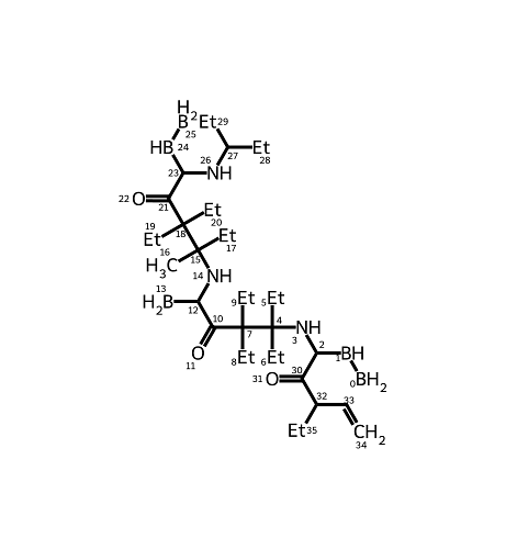 BBC(NC(CC)(CC)C(CC)(CC)C(=O)C(B)NC(C)(CC)C(CC)(CC)C(=O)C(BB)NC(CC)CC)C(=O)C(C=C)CC